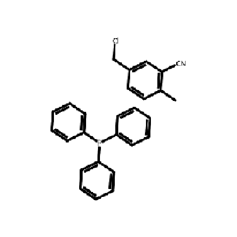 Cc1ccc(CCl)cc1C#N.c1ccc(P(c2ccccc2)c2ccccc2)cc1